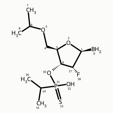 B[C@@H]1O[C@H](COC(C)C)[C@@H](OP(O)(=S)C(C)C)[C@H]1F